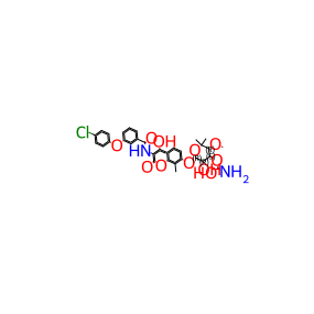 CO[C@@H]1[C@@H](OC(N)O)[C@@H](O)[C@H](Oc2ccc3c(O)c(NC(=O)c4cccc(Oc5ccc(Cl)cc5)c4)c(=O)oc3c2C)OC1(C)C